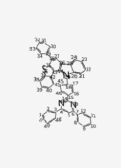 c1ccc(-c2cc(-c3ccccc3)nc(-c3ccc(-n4c5ccccc5c5cc(-c6ccccc6)c6sc7ccccc7c6c54)cc3)n2)cc1